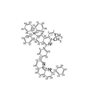 C/C=C\c1c(C)nc(-c2ccc(-c3ccc4ccc5ccc(-c6ccccc6)nc5c4n3)cc2)c2cc3c(cc12)C(c1ccccc1)(c1ccccc1)c1ccccc1-3